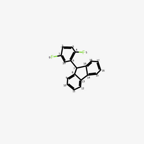 Fc1[c]cc(F)c(C2c3ccccc3-c3ccccc32)c1